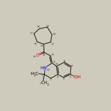 CC1(C)Cc2cc(O)ccc2/C(=C/C(=O)C2CCCCCC2)N1